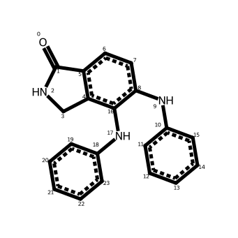 O=C1NCc2c1ccc(Nc1ccccc1)c2Nc1ccccc1